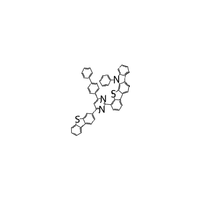 c1ccc(-c2ccc(-c3cc(-c4ccc5c(c4)sc4ccccc45)nc(-c4cccc5c4sc4c5ccc5c6ccccc6n(-c6ccccc6)c54)n3)cc2)cc1